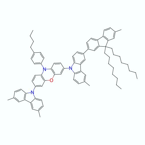 CCCCCCCCC1(CCCCCCCC)c2cc(C)ccc2-c2ccc(-c3ccc4c(c3)c3cc(C)ccc3n4-c3ccc4c(c3)Oc3cc(-n5c6ccc(C)cc6c6cc(C)ccc65)ccc3N4c3ccc(CCCC)cc3)cc21